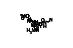 C=CC(=O)N1CCCC(n2cc(Nc3ncc(C(N)=O)c(Nc4c(C)cc(C(=O)NCCC#N)cc4OC)n3)cn2)C1